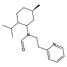 CC(C)C1CC[C@@H](C)CC1N(C=O)CCc1ccccn1